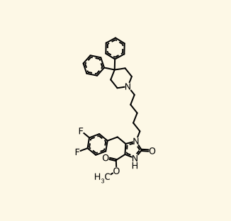 COC(=O)c1[nH]c(=O)n(CCCCCN2CCC(c3ccccc3)(c3ccccc3)CC2)c1Cc1ccc(F)c(F)c1